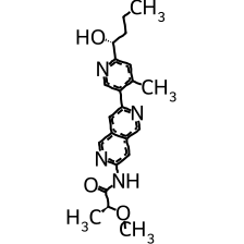 CCC[C@@H](O)c1cc(C)c(-c2cc3cnc(NC(=O)[C@H](C)OC)cc3cn2)cn1